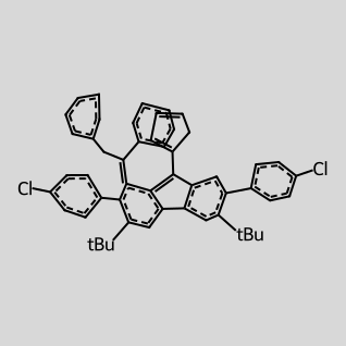 CC(C)(C)c1cc2c(cc1-c1ccc(Cl)cc1)C(C1=CC=CC1)=c1c-2cc(C(C)(C)C)c(-c2ccc(Cl)cc2)c1=C(Cc1ccccc1)c1ccccc1